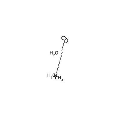 CN(C)CCCCCCCCCCCCCCCCCCc1cccc2ccccc12.O